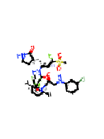 CS(=O)(=O)/C(F)=C/[C@@H](C[C@@H]1CCNC1=O)NC(=O)[C@H]1[C@H]2CC[C@H](CC2(F)F)N1C(=O)CNc1cccc(Cl)c1